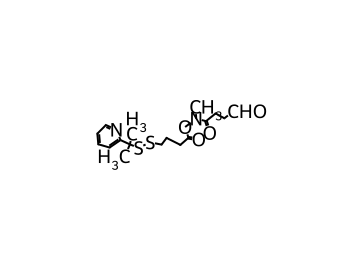 CN(OC(=O)CCCSSC(C)(C)c1ccccn1)C(=O)CCC=O